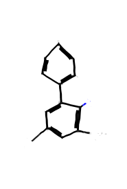 COc1cc(C(F)(F)F)cc(-c2ccccc2)c1N